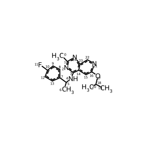 Cc1nc(NC(C)c2ccc(F)cc2)c2cc(OC(C)C)ncc2n1